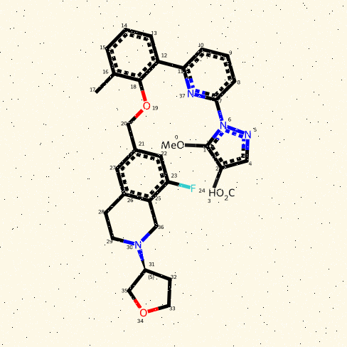 COc1c(C(=O)O)cnn1-c1cccc(-c2cccc(C)c2OCc2cc(F)c3c(c2)CCN([C@H]2CCOC2)C3)n1